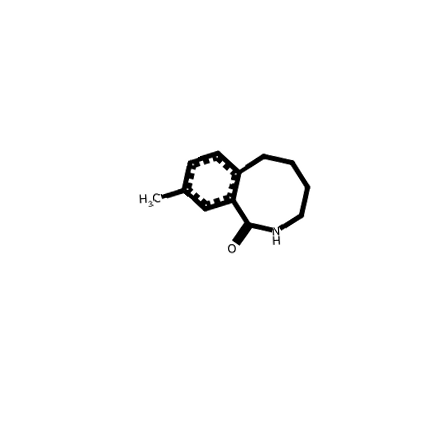 Cc1ccc2c(c1)C(=O)NCCCC2